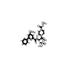 CCCCOC(=O)N1CCN(C(=O)[C@H](CP(=O)(O)O)NC(=O)c2cc(OC)cc(-c3ccccc3)n2)CC1